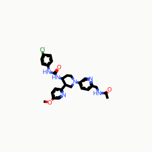 COc1ccc(C2CN(c3ccc(CNC(C)=O)nc3)CCC2NC(=O)Nc2ccc(Cl)cc2)nc1